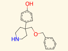 Oc1ccc(C2(COCc3ccccc3)CCNCC2)cc1